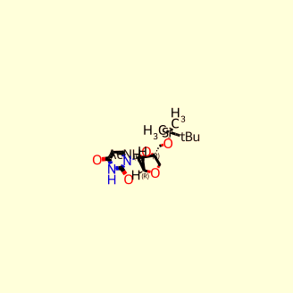 CC(=O)N[C@H]1[C@H]2OC[C@]1(CO[Si](C)(C)C(C)(C)C)O[C@H]2n1ccc(=O)[nH]c1=O